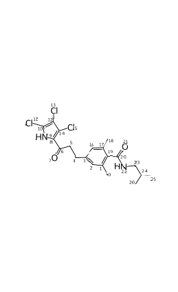 Cc1cc(CCC(=O)c2[nH]c(Cl)c(Cl)c2Cl)cc(C)c1C(=O)NCC(C)C